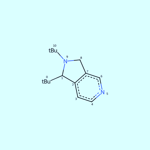 CC(C)(C)C1c2ccncc2CN1C(C)(C)C